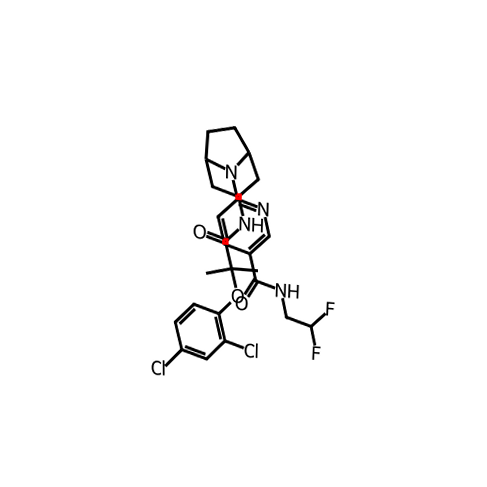 CC(C)(Oc1ccc(Cl)cc1Cl)C(=O)NC1CC2CCC(C1)N2c1ccc(C(=O)NCC(F)F)cn1